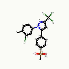 Cc1ccc(-n2nc(C(F)(F)F)cc2-c2ccc(S(C)(=O)=O)cc2)cc1Cl